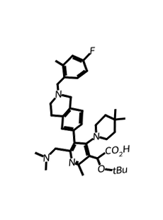 Cc1cc(F)ccc1CN1CCc2cc(-c3c(CN(C)C)nc(C)c(C(OC(C)(C)C)C(=O)O)c3N3CCC(C)(C)CC3)ccc2C1